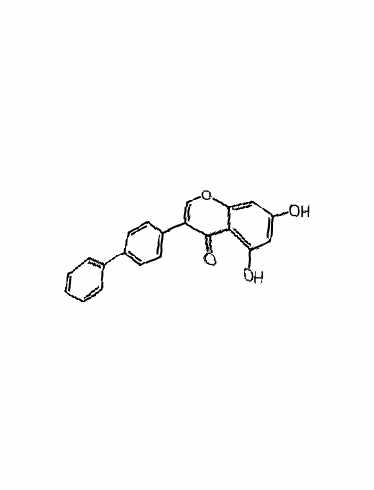 O=c1c(-c2ccc(-c3ccccc3)cc2)coc2cc(O)cc(O)c12